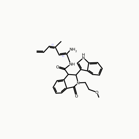 C=C/C=C(C)\C=C(/N)NC(=O)C1c2ccccc2C(=O)N(CCOC)C1c1c[nH]c2ccccc12